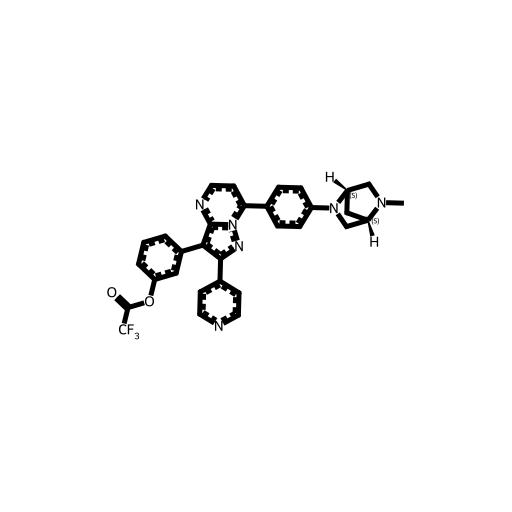 CN1C[C@@H]2C[C@H]1CN2c1ccc(-c2ccnc3c(-c4cccc(OC(=O)C(F)(F)F)c4)c(-c4ccncc4)nn23)cc1